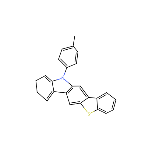 Cc1ccc(-n2c3c(c4cc5sc6ccccc6c5cc42)=CCCC=3)cc1